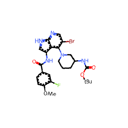 COc1ccc(C(=O)Nc2c[nH]c3ncc(Br)c(N4CCCC(NC(=O)OC(C)(C)C)C4)c23)cc1F